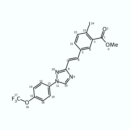 COC(=O)c1cc(/C=C/c2ncn(-c3ccc(OC(F)(F)F)cc3)n2)ccc1I